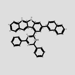 c1ccc(C2=NC(c3ccccc3)NC(c3cc(-c4ccc5ccccc5c4)cc4oc5nc6ccccc6cc5c34)=N2)cc1